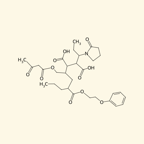 CCCC(CC(COC(=O)CC(C)=O)C(C(=O)O)C(C(=O)O)C(CC)N1CCCC1=O)C(=O)OCCOc1ccccc1